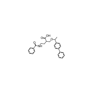 CC(OCC(CCNC(=O)c1ccccc1)C(=O)O)c1ccc(-c2ccccc2)cc1